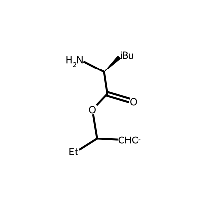 CCC([C]=O)OC(=O)[C@@H](N)C(C)CC